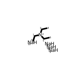 CCN(CC)CC.[NaH].[NaH].[NaH].[NaH]